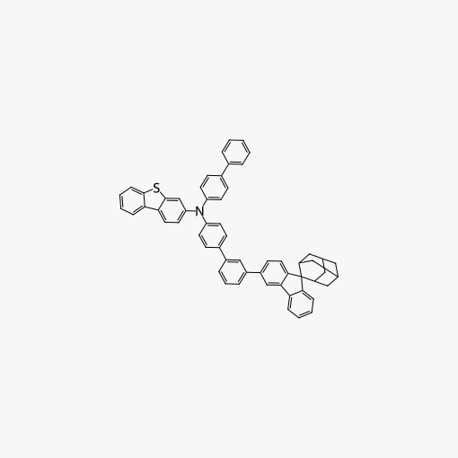 c1ccc(-c2ccc(N(c3ccc(-c4cccc(-c5ccc6c(c5)-c5ccccc5C65C6CC7CC(C6)CC5C7)c4)cc3)c3ccc4c(c3)sc3ccccc34)cc2)cc1